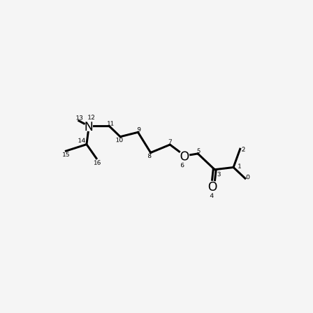 CC(C)C(=O)COCCCCCN(C)C(C)C